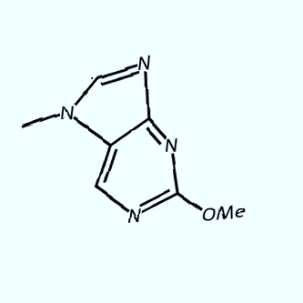 COc1ncc2c(n[c]n2C)n1